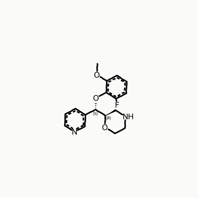 COc1cccc(F)c1O[C@@H](c1cccnc1)[C@H]1CNCCO1